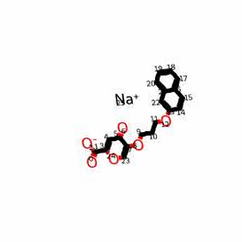 O=C([O-])c1cc(=O)c(OCCCOc2ccc3ccccc3c2)co1.[Na+]